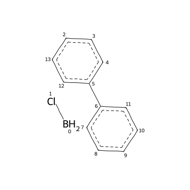 BCl.c1ccc(-c2ccccc2)cc1